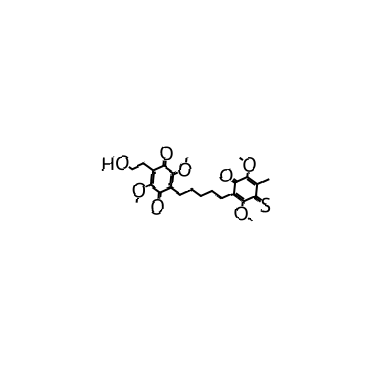 COC1=C(C)C(=S)C(OC)=C(CCCCCC2=C(OC)C(=O)C(CCO)=C(OC)C2=O)C1=O